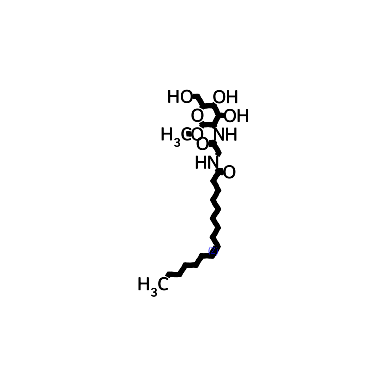 CCCCCC/C=C\CCCCCCCC(=O)NCC(=O)NC1C(OC)OC(CO)C(O)C1O